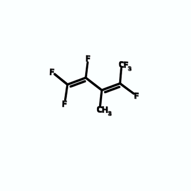 CC(C(F)=C(F)F)=C(F)C(F)(F)F